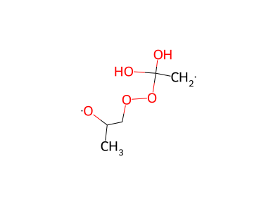 [CH2]C(O)(O)OOCC(C)[O]